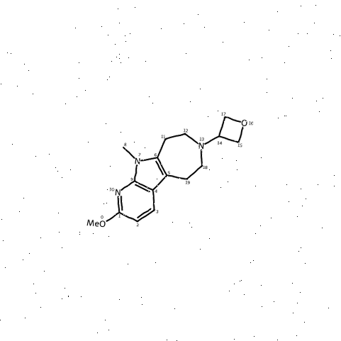 COc1ccc2c3c(n(C)c2n1)CCN(C1COC1)CC3